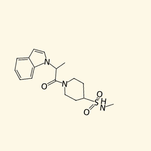 CNS(=O)(=O)C1CCN(C(=O)C(C)n2ccc3ccccc32)CC1